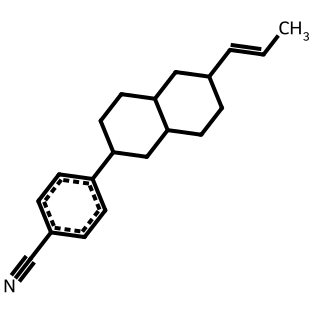 CC=CC1CCC2CC(c3ccc(C#N)cc3)CCC2C1